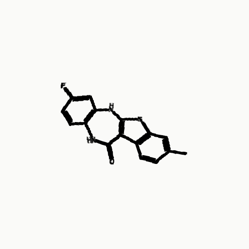 Cc1ccc2c3c(sc2c1)Nc1cc(F)ccc1NC3=O